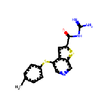 Cc1ccc(Sc2cncc3sc(C(=O)NC(=N)N)cc23)cc1